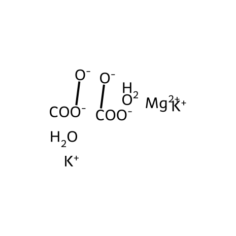 O.O.O=C([O-])[O-].O=C([O-])[O-].[K+].[K+].[Mg+2]